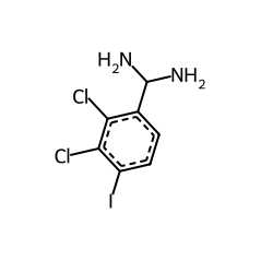 NC(N)c1ccc(I)c(Cl)c1Cl